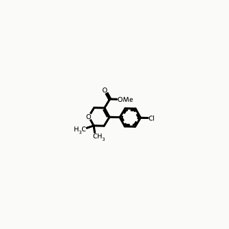 COC(=O)C1=C(c2ccc(Cl)cc2)CC(C)(C)OC1